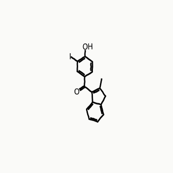 CC1=C(C(=O)c2ccc(O)c(I)c2)c2ccccc2C1